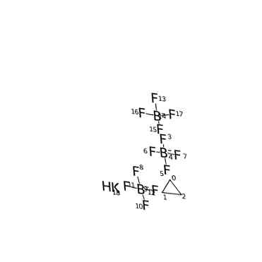 C1CC1.F[B-](F)(F)F.F[B-](F)(F)F.F[B-](F)(F)F.[KH]